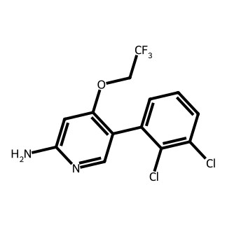 Nc1cc(OCC(F)(F)F)c(-c2cccc(Cl)c2Cl)cn1